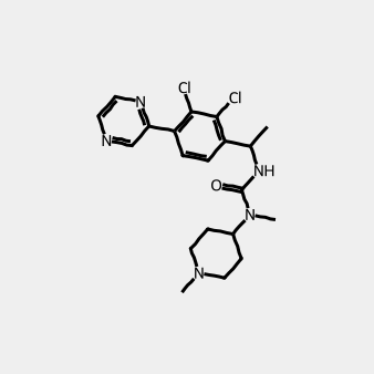 CC(NC(=O)N(C)C1CCN(C)CC1)c1ccc(-c2cnccn2)c(Cl)c1Cl